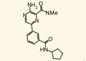 CNC(=O)c1nc(-c2cccc(C(=O)NC3CCCC3)c2)cnc1N